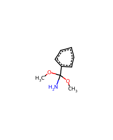 COC(N)(OC)c1ccccc1